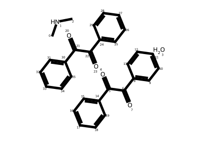 CNC.O.O=C(C(=O)c1ccccc1)c1ccccc1.O=C(C(=O)c1ccccc1)c1ccccc1